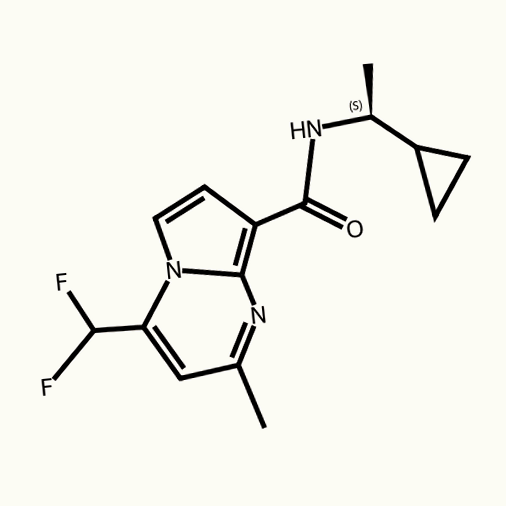 Cc1cc(C(F)F)n2ccc(C(=O)N[C@@H](C)C3CC3)c2n1